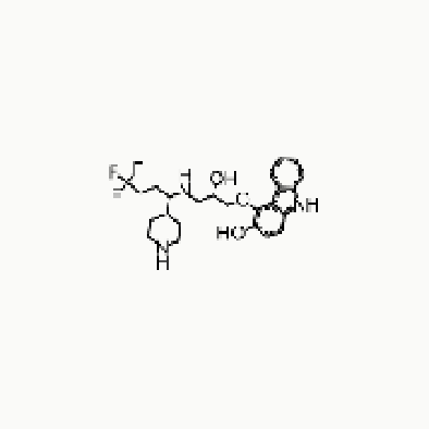 Oc1ccc2[nH]c3ccccc3c2c1OC[C@@H](O)CNC(CCC(F)(F)F)C1CCNCC1